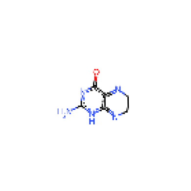 Nc1nc(=O)c2c([nH]1)=NCCN=2